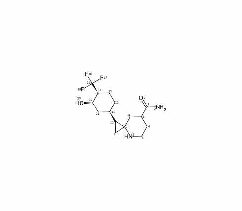 NC(=O)C1CCNC2(C1)CC2[C@@H]1CC[C@H](C(F)(F)F)[C@H](O)C1